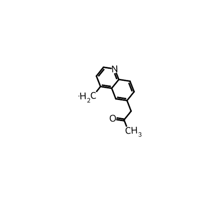 [CH2]c1ccnc2ccc(CC(C)=O)cc12